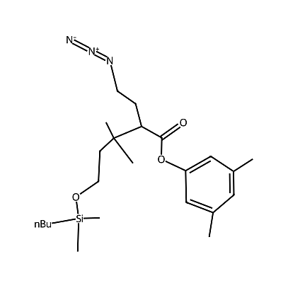 CCCC[Si](C)(C)OCCC(C)(C)C(CCN=[N+]=[N-])C(=O)Oc1cc(C)cc(C)c1